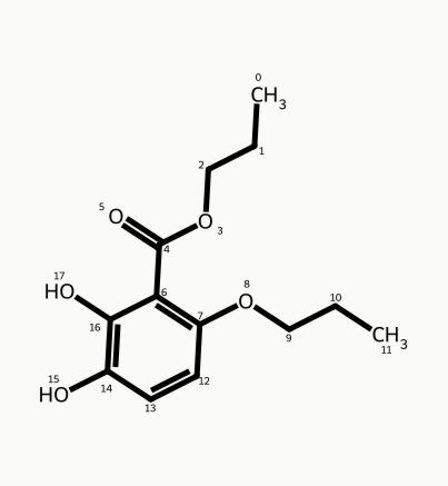 CCCOC(=O)c1c(OCCC)ccc(O)c1O